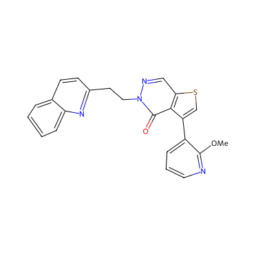 COc1ncccc1-c1csc2cnn(CCc3ccc4ccccc4n3)c(=O)c12